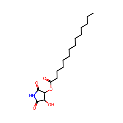 CCCCCCCCCCCCCC(=O)OC1C(=O)NC(=O)C1O